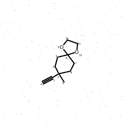 C#CC1(C)CCC2(CC1)OCCO2